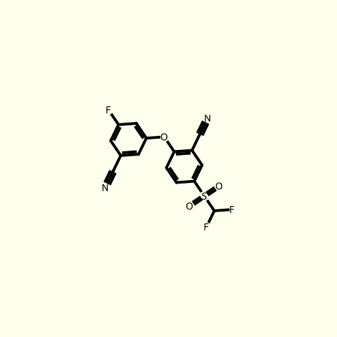 N#Cc1cc(F)cc(Oc2ccc(S(=O)(=O)C(F)F)cc2C#N)c1